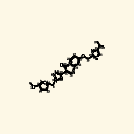 COc1ccc(Cn2nnc(-c3cnc4cc(OCc5nc(C(C)C)cs5)ccn4c3=O)n2)cc1